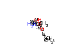 COc1cc(OCCCCCCCC(C)C)ccc1CC[C@@](N)(CO)CC1CCC1